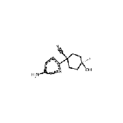 C[C@]1(O)CC[C@](C#N)(c2ccc(N)cn2)CC1